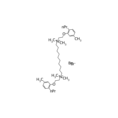 CCCc1ccc(C)cc1OCC[N+](C)(C)CCCCCCCCCC[N+](C)(C)CCOc1cc(C)ccc1CCC.[Br-].[Br-]